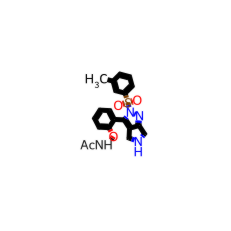 CC(=O)NOc1ccccc1-c1c2c(nn1S(=O)(=O)c1cccc(C)c1)CNC2